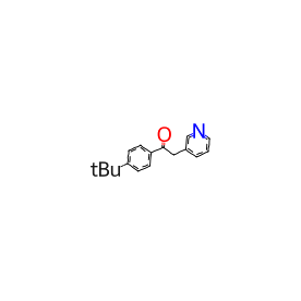 CC(C)(C)c1ccc(C(=O)Cc2cccnc2)cc1